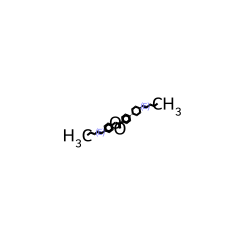 CCC/C=C/c1ccc(OC(=O)c2ccc([C@H]3CC[C@H](/C=C/CCC)CC3)cc2)cc1